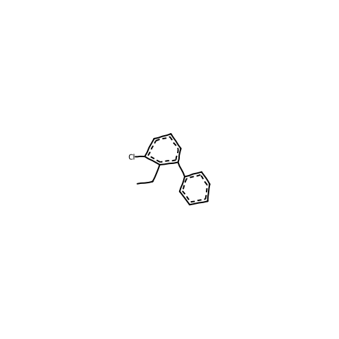 CCc1c(Cl)cccc1-c1ccccc1